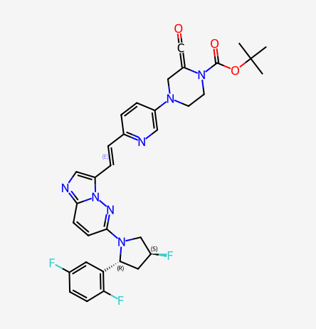 CC(C)(C)OC(=O)N1CCN(c2ccc(/C=C/c3cnc4ccc(N5C[C@@H](F)C[C@@H]5c5cc(F)ccc5F)nn34)nc2)CC1=C=O